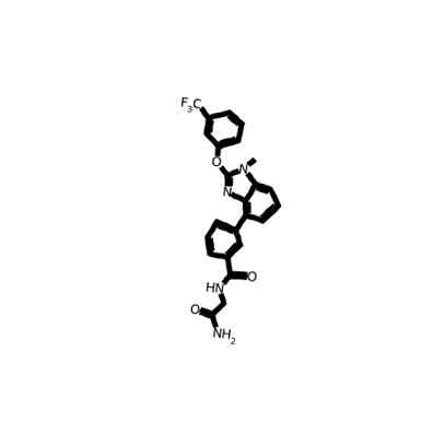 Cn1c(Oc2cccc(C(F)(F)F)c2)nc2c(-c3cccc(C(=O)NCC(N)=O)c3)cccc21